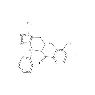 O=C(c1ccc(F)c(C(F)(F)F)c1Cl)N1CCn2c(nnc2C(F)(F)F)[C@H]1c1ccccc1